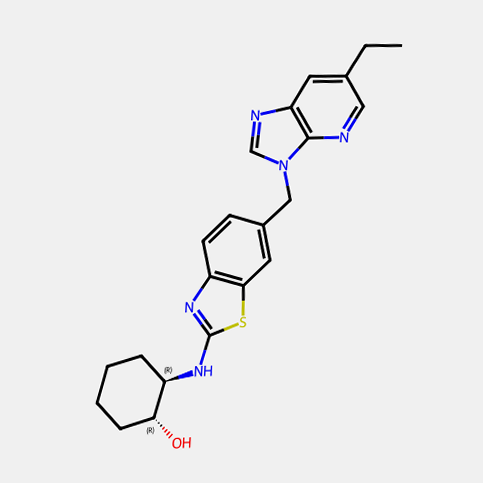 CCc1cnc2c(c1)ncn2Cc1ccc2nc(N[C@@H]3CCCC[C@H]3O)sc2c1